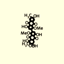 COc1c(-c2cc(O)c3c(c2OC)C(=O)c2cc(O)c(C)cc2C3=O)cc(O)c2c1C(=O)C1=C(C[C@@H](O)[C@@](C)(O)[C@H]1O)C2=O